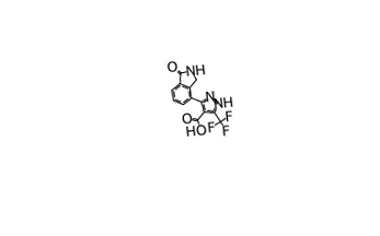 O=C1NCc2c1cccc2-c1n[nH]c(C(F)(F)F)c1C(=O)O